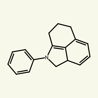 C1=CC2CN(c3ccccc3)C3=C2C(=C1)CCC3